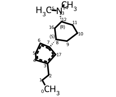 CCCc1cccc([C@H]2CCC[C@@H](N(C)C)C2)c1